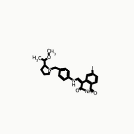 COC(C)C1CCCN1Cc1ccc(NC=C2C(=O)NC(=O)c3ccc(I)cc32)cc1